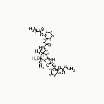 C=CC(=O)OC1CCCCC1OC(=O)NCC1(C)CC(NC(=O)OC2CCCCC2OC(=O)C=C)CC(C)(C)C1